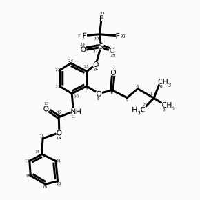 CC(C)(C)CCC(=O)Oc1c(NC(=O)OCc2ccccc2)cccc1OS(=O)(=O)C(F)(F)F